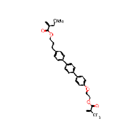 C=C(COC)C(=O)OCCCc1ccc(-c2ccc(-c3ccc(OCCOC(=O)C(=C)C(F)(F)F)cc3)cc2)cc1